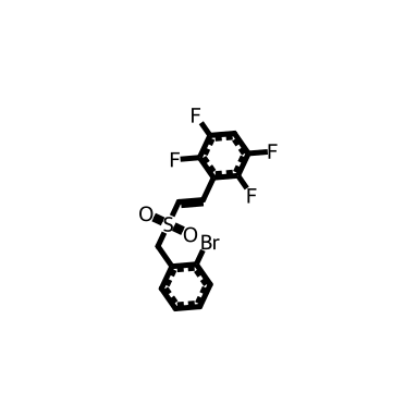 O=S(=O)(C=Cc1c(F)c(F)cc(F)c1F)Cc1ccccc1Br